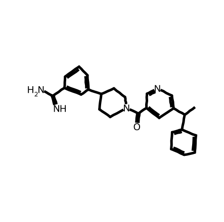 CC(c1ccccc1)c1cncc(C(=O)N2CCC(c3cccc(C(=N)N)c3)CC2)c1